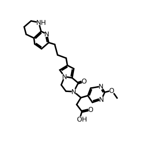 COc1ncc(C(CC(=O)O)N2CCn3cc(CCCc4ccc5c(n4)NCCC5)cc3C2=O)cn1